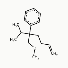 C=CCCC(COC)(c1ccccc1)C(C)C